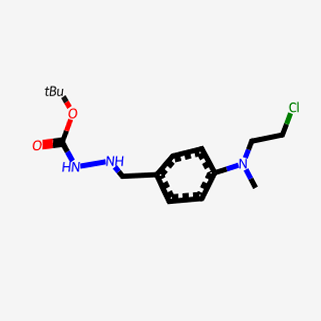 CN(CCCl)c1ccc(CNNC(=O)OC(C)(C)C)cc1